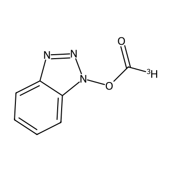 [3H]C(=O)On1nnc2ccccc21